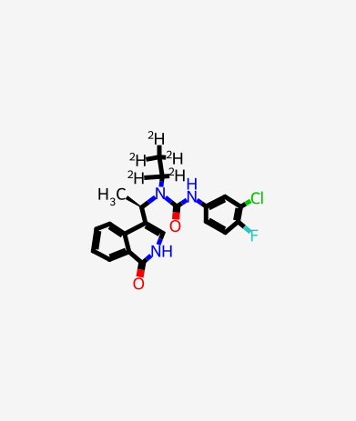 [2H]C([2H])([2H])C([2H])([2H])N(C(=O)Nc1ccc(F)c(Cl)c1)[C@H](C)c1c[nH]c(=O)c2ccccc12